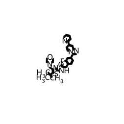 CC(C)(C)c1sc(NC(=O)Cc2ccc(-c3cnc4cc(-c5ccccn5)ccn34)cc2F)nc1CN1CCOCC1